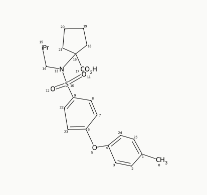 Cc1ccc(Oc2ccc(S(=O)(=O)N(CC(C)C)C3(C(=O)O)CCCC3)cc2)cc1